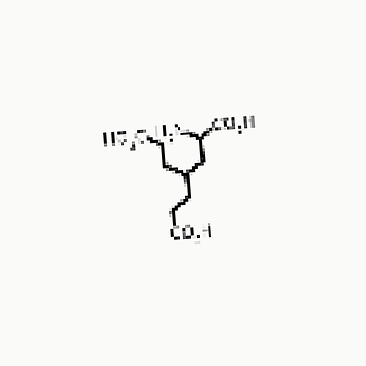 NC(CC(CCC(=O)O)CCC(=O)O)C(=O)O